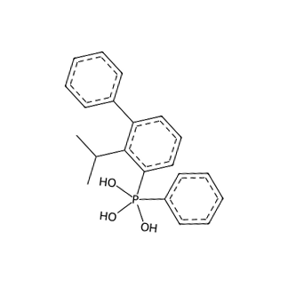 CC(C)c1c(-c2ccccc2)cccc1P(O)(O)(O)c1ccccc1